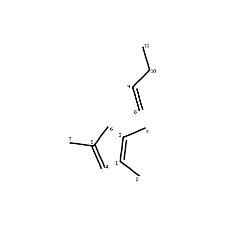 C/C=C\C.C=C(C)C.C=CCC